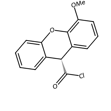 COc1cccc2c1Oc1ccccc1[C@H]2C(=O)Cl